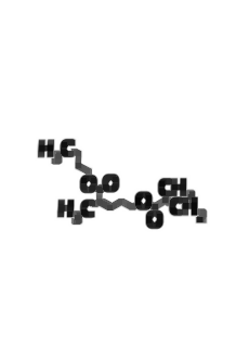 C=C(C)C(=O)OCCC=C(C)C(=O)OCCCC